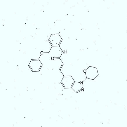 O=C(C=Cc1ccc2cnn(C3CCCCO3)c2c1)Nc1ccccc1COc1ccccc1